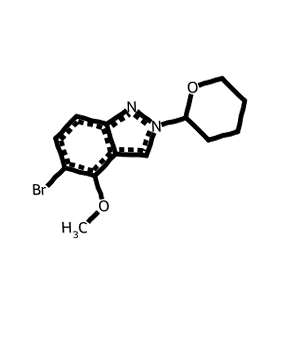 COc1c(Br)ccc2nn(C3CCCCO3)cc12